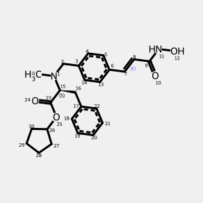 CN(Cc1ccc(/C=C/C(=O)NO)cc1)[C@@H](Cc1ccccc1)C(=O)OC1CCCC1